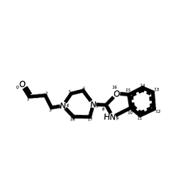 O=CCCN1CCN(C2Nc3ccccc3O2)CC1